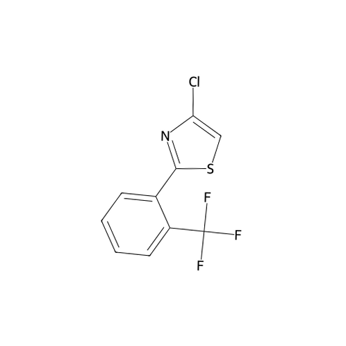 FC(F)(F)c1ccccc1-c1nc(Cl)cs1